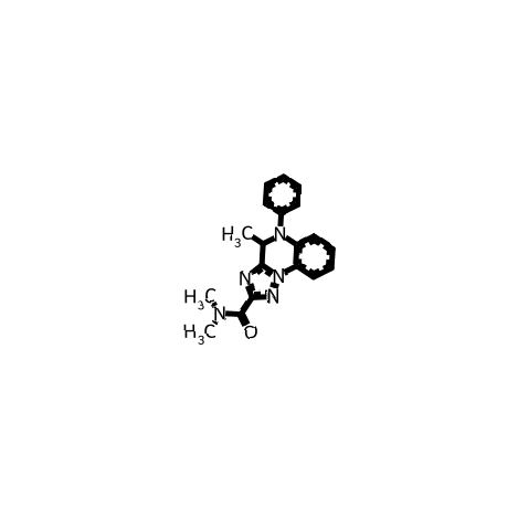 CC1c2nc(C(=O)N(C)C)nn2-c2ccccc2N1c1ccccc1